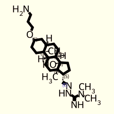 CN(C)C(=N)N/N=C/[C@H]1CC[C@]2(O)[C@@H]3CC[C@@H]4C[C@@H](OCCCN)CC[C@]4(C)[C@H]3CC[C@]12C